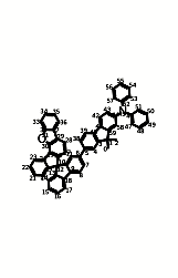 CC1(C)c2cc(-c3ccc4c(c3)C3(c5ccccc5-4)c4ccccc4-c4c3ccc3c4oc4ccccc43)ccc2-c2ccc(N(c3ccccc3)c3ccccc3)cc21